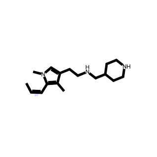 C/C=C\c1c(C)c(CCNCC2CCNCC2)cn1C